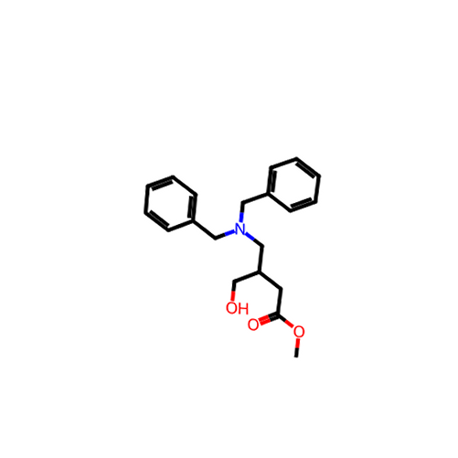 COC(=O)CC(CO)CN(Cc1ccccc1)Cc1ccccc1